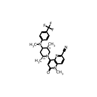 C[C@H]1CN(c2cc(=O)n(C)c3ccc(C#N)nc23)[C@@H](C)CC1N(C)c1ccc(C(F)(F)F)cc1